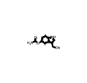 N#CCc1c[nH]c2ccc(OC(N)=O)cc12